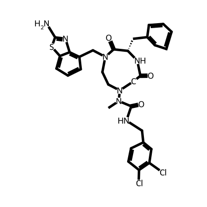 CN(C(=O)NCc1ccc(Cl)c(Cl)c1)N1CCN(Cc2cccc3sc(N)nc23)C(=O)[C@H](Cc2ccccc2)NC(=O)C1